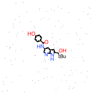 CC(C)(C)C(O)c1cc2cc(NC(=O)c3ccc(O)cc3)cnc2[nH]1